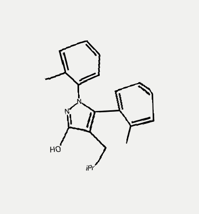 Cc1ccccc1-c1c(CC(C)C)c(O)nn1-c1ccccc1C